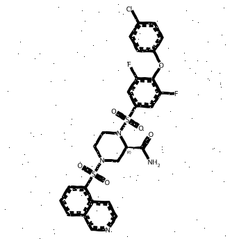 NC(=O)[C@H]1CN(S(=O)(=O)c2cccc3cnccc23)CCN1S(=O)(=O)c1cc(F)c(Oc2ccc(Cl)cc2)c(F)c1